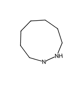 C1CCC[N]NCCC1